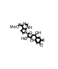 CO/N=C1/N=CNC2C1CCN2[C@@H]1O[C@H]([C@H](O)c2ccc(Cl)c(F)c2)[C@@H](O)[C@H]1O